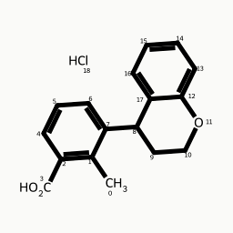 Cc1c(C(=O)O)cccc1C1CCOc2ccccc21.Cl